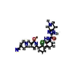 COc1nc(-c2cccc(-c3cccc(NC(=O)c4nc5c(n4C)CCN(C)C5)c3Cl)c2Cl)ccc1CN1CCC(C#N)CC1